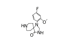 COc1cc(F)ccc1N1CNC(=O)C12CCNCC2